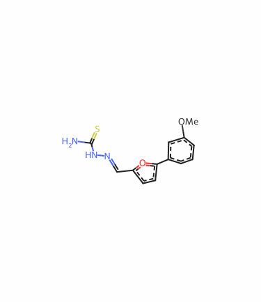 COc1cccc(-c2ccc(C=NNC(N)=S)o2)c1